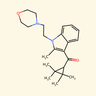 Cc1c(C(=O)C2C(C)(C)C2(C)C)c2ccccc2n1CCN1CCOCC1